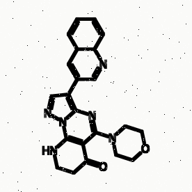 O=C1CCNc2c1c(N1CCOCC1)nc1c(C3=CC4C=CC=CC4N=C3)cnn21